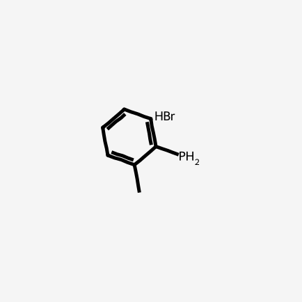 Br.Cc1ccccc1P